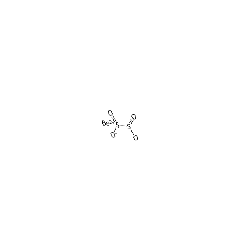 O=S([O-])S(=O)[O-].[Be+2]